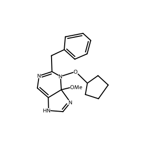 COC12N=CNC1=CN=C(Cc1ccccc1)N2OC1CCCC1